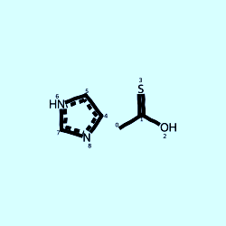 CC(O)=S.c1c[nH]cn1